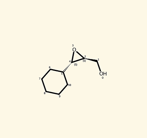 OC[C@@H]1O[C@H]1C1CCCCC1